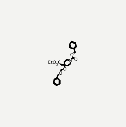 CCOC(=O)CC1(OCOCc2ccccc2)CCN(C(=O)OCc2ccccc2)CC1